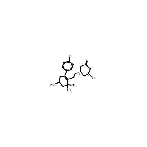 CC1(C)CC(O)CC(c2ccc(F)cc2)=C1CC[C@H]1C[C@H](O)CC(=O)O1